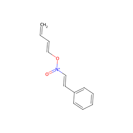 C=CC=CO[N+](=O)C=Cc1ccccc1